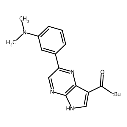 CN(C)c1cccc(-c2cnc3[nH]cc(C(=O)C(C)(C)C)c3n2)c1